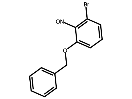 O=Nc1c(Br)cccc1OCc1ccccc1